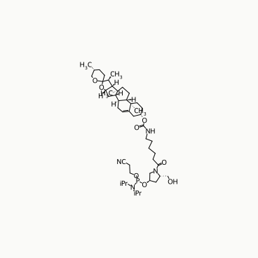 CC(C)N(C(C)C)P(OCCC#N)O[C@@H]1C[C@@H](CO)N(C(=O)CCCCCNC(=O)O[C@H]2CC[C@@]3(C)C(=CC[C@H]4[C@@H]5C[C@@H]6OC7(CC[C@@H](C)CO7)[C@@H](C)[C@@H]6[C@@]5(C)CC[C@@H]43)C2)C1